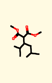 COC(=O)C(C(=O)OC)C(CC(C)C)C(C)C